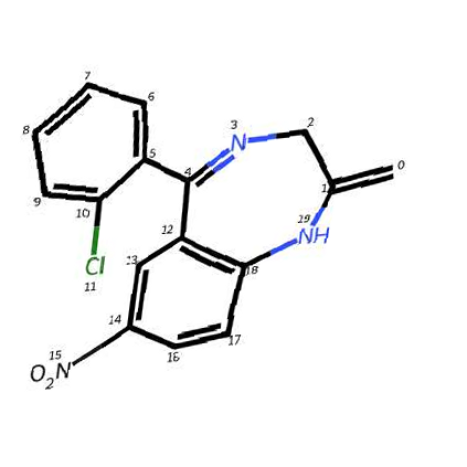 C=C1CN=C(c2ccccc2Cl)c2cc([N+](=O)[O-])ccc2N1